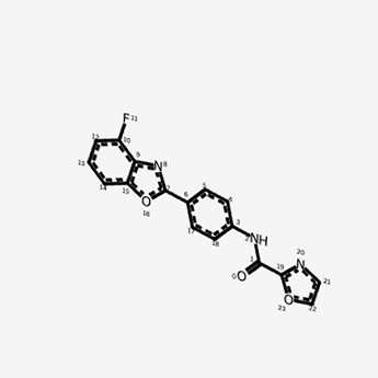 O=C(Nc1ccc(-c2nc3c(F)cccc3o2)cc1)c1ncco1